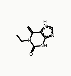 C=C1c2[nH]cnc2NC(=O)N1CC